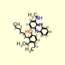 CCCCCCc1c(O)ccc(CC)c1CC.CNc1cccc2nc3ccccc3nc12